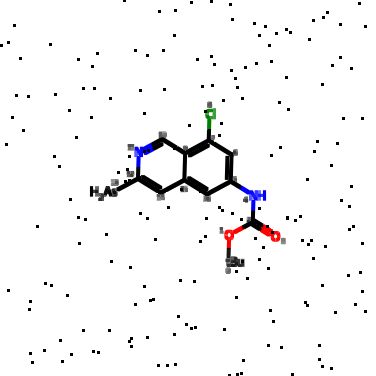 CC(C)(C)OC(=O)Nc1cc(Cl)c2cnc([AsH2])cc2c1